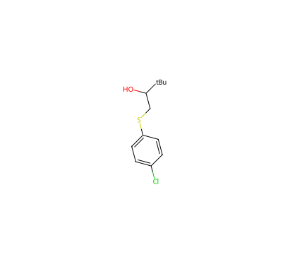 CC(C)(C)C(O)CSc1ccc(Cl)cc1